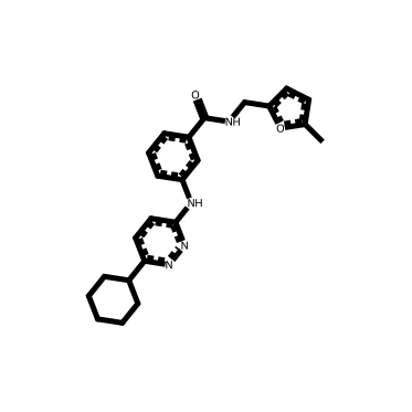 Cc1ccc(CNC(=O)c2cccc(Nc3ccc(C4CCCCC4)nn3)c2)o1